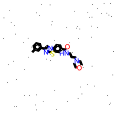 Cc1cccc(-c2cn3c(n2)sc2cc(C(=O)NCCCN4CCOCC4)ccc23)c1